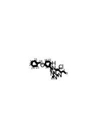 CCc1nc2ncnn2c(N[C@@H](C)c2cccc(OCc3ccccc3)c2)c1Cl